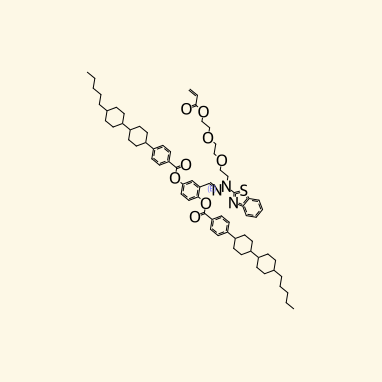 C=CC(=O)OCCOCCOCCN(/N=C/c1cc(OC(=O)c2ccc(C3CCC(C4CCC(CCCCC)CC4)CC3)cc2)ccc1OC(=O)c1ccc(C2CCC(C3CCC(CCCCC)CC3)CC2)cc1)c1nc2ccccc2s1